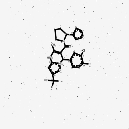 CC1=C(C(=O)N2CCCC2c2ccoc2)C(c2ccc(Cl)c(Cl)c2)n2nc(C(F)(F)F)cc2N1